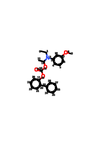 CCN(c1cccc(OC)c1)C(C)OC(=O)Oc1ccccc1-c1ccccc1